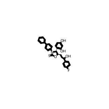 Oc1ccc([C@@H]2[C@@H](CCC(O)c3ccc(F)cc3)OC(=S)N2c2ccc(-c3ccccc3)cc2)c(O)c1